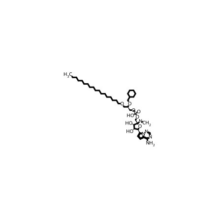 C=N[C@]1(COP(=O)(O)OC[C@@H](COCCCCCCCCCCCCCCCCCC)OCC2CCCCC2)O[C@@H](c2ccc3c(N)ncnn23)[C@H](O)[C@@H]1O